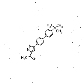 CC(S)n1cc(-c2ccc(-c3ccc(C(C)(C)C)cc3)cc2)nn1